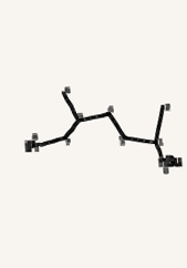 CCCCC(C)[CH]CC(C)CC(C)C